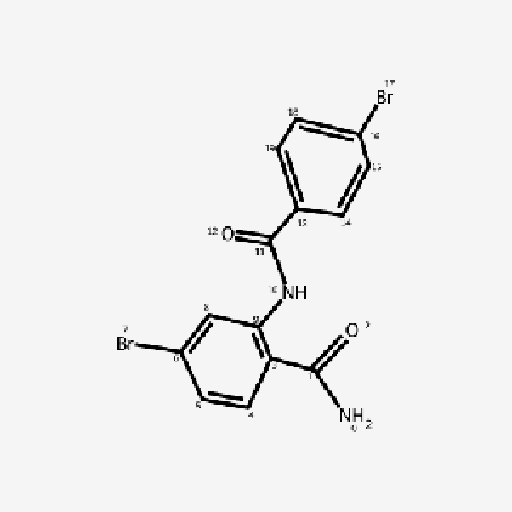 NC(=O)c1ccc(Br)cc1NC(=O)c1ccc(Br)cc1